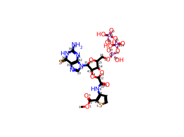 COC(=O)c1sccc1NC(=O)C1OC2C(COP(=O)(O)OP(=O)(O)OP(=O)(O)O)OC(n3cnc4c(=S)[nH]c(N)nc43)C2O1